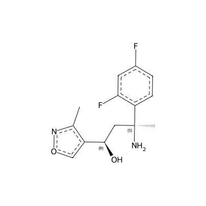 Cc1nocc1[C@H](O)C[C@](C)(N)c1ccc(F)cc1F